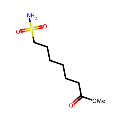 COC(=O)CCCCCCS(N)(=O)=O